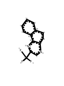 FC(F)(F)c1cnc2ccc3ccccc3c2n1